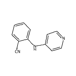 N#Cc1ccccc1Nc1ccncc1